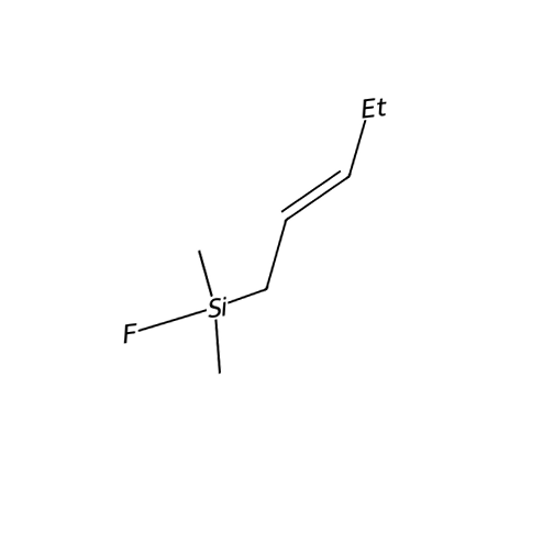 CC/C=C/C[Si](C)(C)F